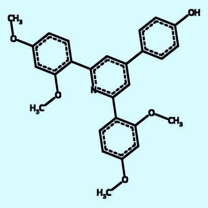 COc1ccc(-c2cc(-c3ccc(O)cc3)cc(-c3ccc(OC)cc3OC)n2)c(OC)c1